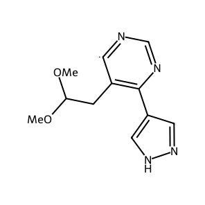 COC(Cc1[c]ncnc1-c1cn[nH]c1)OC